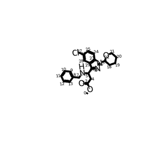 COC(=O)CC(NCc1ccccc1)c1nn(C2CCCCO2)c2ccc(Cl)cc12